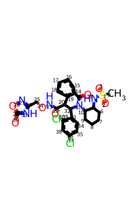 CS(=O)(=O)NC1CCCCC1N1C(=O)c2ccccc2C(C(=O)NOCc2noc(=O)[nH]2)C1c1ccc(Cl)cc1Cl